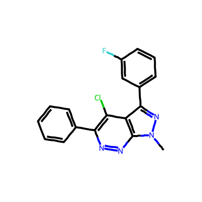 Cn1nc(-c2cccc(F)c2)c2c(Cl)c(-c3ccccc3)nnc21